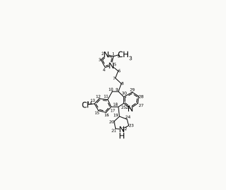 Cc1nccn1CCCC1Cc2cc(Cl)ccc2C(C2CCNCC2)c2ncccc21